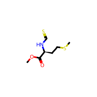 COC(=O)[C@H](CCSC)NC=S